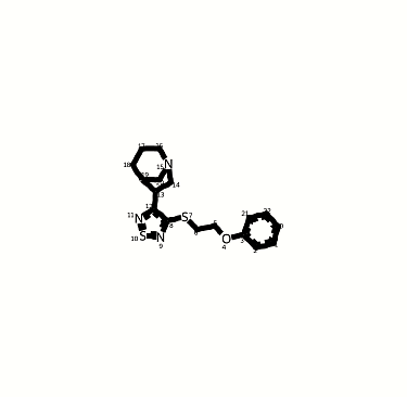 c1ccc(OCCSc2nsnc2C2CN3CCCC2C3)cc1